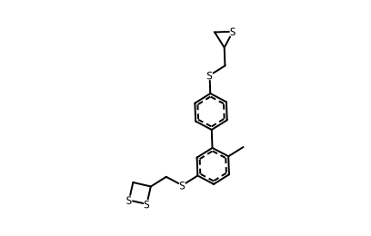 Cc1ccc(SCC2CSS2)cc1-c1ccc(SCC2CS2)cc1